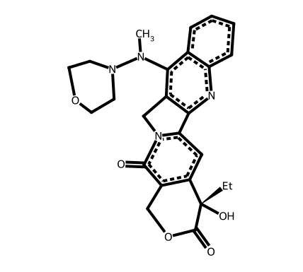 CC[C@@]1(O)C(=O)OCc2c1cc1n(c2=O)Cc2c-1nc1ccccc1c2N(C)N1CCOCC1